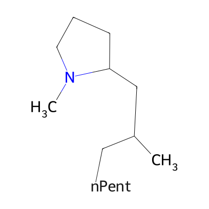 CCCCCCC(C)CC1CCCN1C